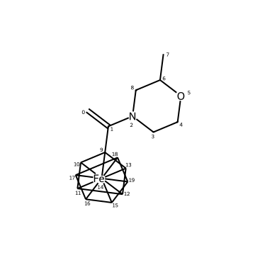 C=C(N1CCOC(C)C1)[C]12[CH]3[CH]4[CH]5[CH]1[Fe]45321678[CH]2[CH]1[CH]6[CH]7[CH]28